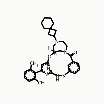 Cc1cccc(C)c1-c1cc2nc(n1)NSc1cccc(c1)C(=O)N1CCN(C3CC4(CCCCC4)C3)C[C@H](C1)O2